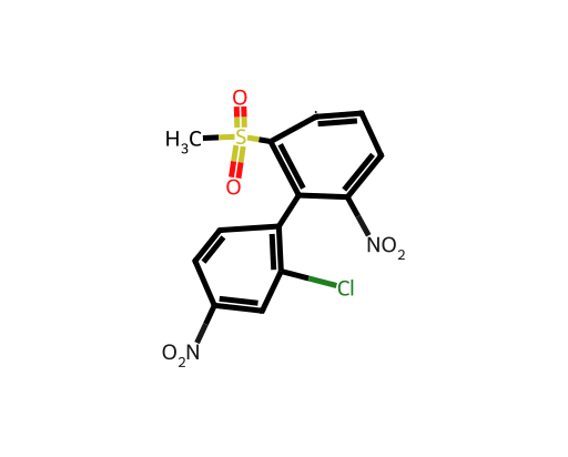 CS(=O)(=O)c1[c]ccc([N+](=O)[O-])c1-c1ccc([N+](=O)[O-])cc1Cl